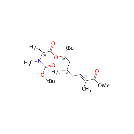 COC(=O)/C(C)=C/C[C@H](C)C[C@H](OC(=O)[C@H](C)N(C)C(=O)OC(C)(C)C)C(C)(C)C